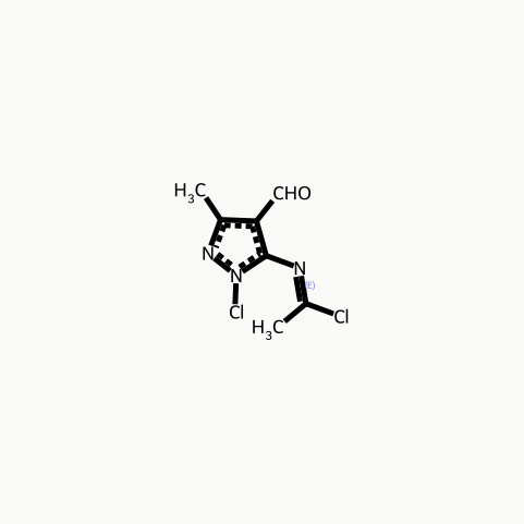 C/C(Cl)=N\c1c(C=O)c(C)nn1Cl